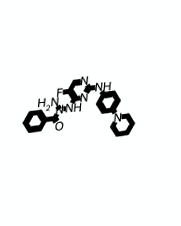 NN(Nc1nc(Nc2ccc(N3CCCCC3)cc2)ncc1F)C(=O)c1ccccc1